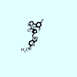 COc1ccc2c(cnn2CC23CC(C2)[C@@H](C(=O)N2N=CCC2c2cc(F)cc(F)c2)C3)n1